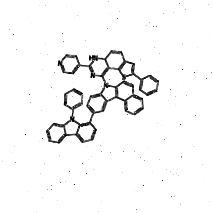 C1=CC2NC(c3ccncc3)=NC(n3c4ccc(-c5cccc6c7ccccc7n(-c7ccccc7)c56)cc4c4c5ccccc5ccc43)=C2c2sc(-c3ccccc3)cc21